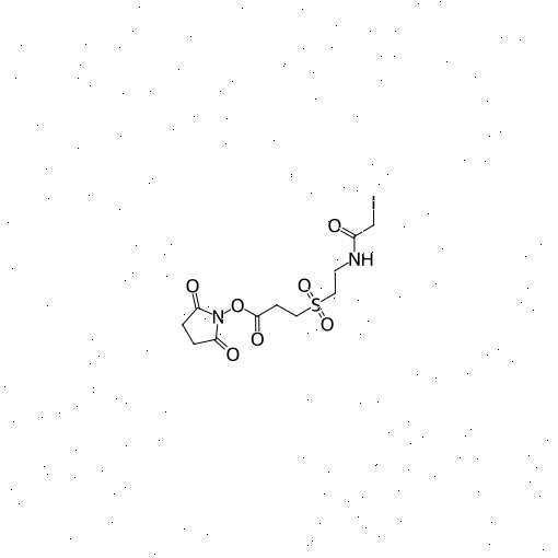 O=C(CI)NCCS(=O)(=O)CCC(=O)ON1C(=O)CCC1=O